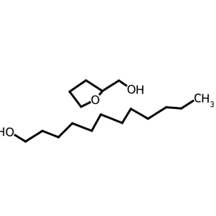 CCCCCCCCCCCCO.OCC1CCCO1